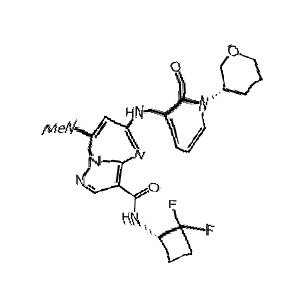 CNc1cc(Nc2cccn([C@H]3CCCOC3)c2=O)nc2c(C(=O)N[C@H]3CCC3(F)F)cnn12